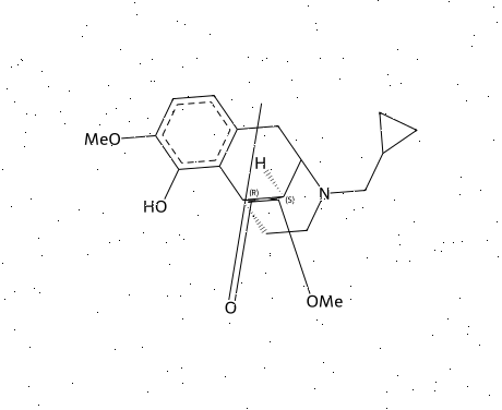 COc1ccc2c(c1O)[C@@]13CCN(CC4CC4)C(C2)[C@H]1CC(OC)C(=O)C3